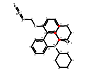 COc1cccc(OCN=[N+]=[N-])c1-c1ccccc1P(C1CCCCC1)C1CCCCC1